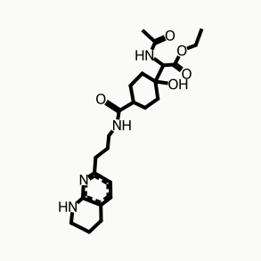 CCOC(=O)C(NC(C)=O)C1(O)CCC(C(=O)NCCCc2ccc3c(n2)NCCC3)CC1